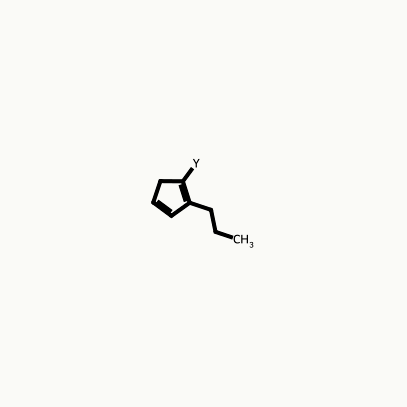 CCCC1=[C]([Y])CC=C1